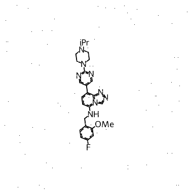 COc1cc(F)ccc1CNc1ccc(-c2cnc(N3CCN(C(C)C)CC3)nc2)c2nncn12